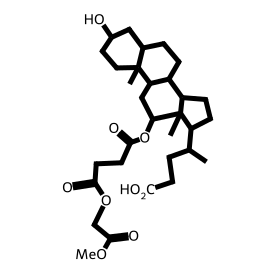 COC(=O)COC(=O)CCC(=O)OC1CC2C(CCC3CC(O)CCC32C)C2CCC(C(C)CCC(=O)O)C12C